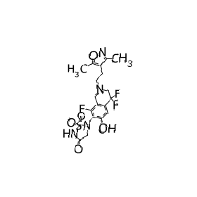 Cc1noc(C)c1CCN1Cc2c(cc(O)c(N3CC(=O)NS3(=O)=O)c2F)C(F)(F)C1